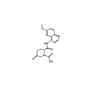 COc1ccc2nccc(NC(=O)[C@@H]3CCC(=O)CN3C(=O)O)c2n1